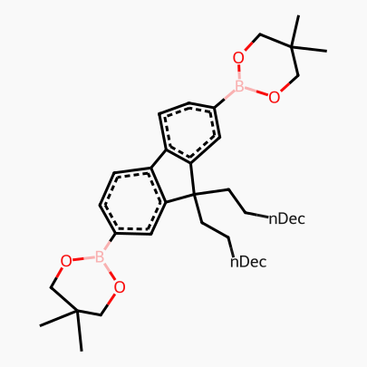 CCCCCCCCCCCCC1(CCCCCCCCCCCC)c2cc(B3OCC(C)(C)CO3)ccc2-c2ccc(B3OCC(C)(C)CO3)cc21